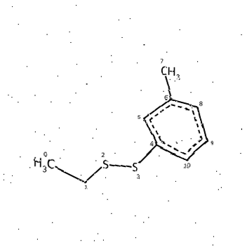 CCSSc1[c]c(C)ccc1